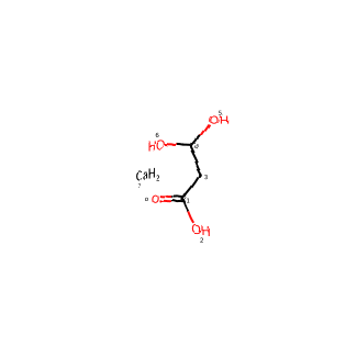 O=C(O)CC(O)O.[CaH2]